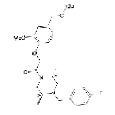 CCCCOCc1ccc(OCC(=O)N2C[C@H](C)N(Cc3ccc(F)cc3)C[C@H]2C)c(OC)c1